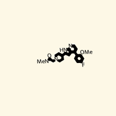 CNC(=O)CN1CC=C(c2cc3c(-c4ccc(F)cc4OC)ccnc3[nH]2)CC1